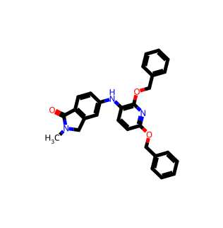 CN1Cc2cc(Nc3ccc(OCc4ccccc4)nc3OCc3ccccc3)ccc2C1=O